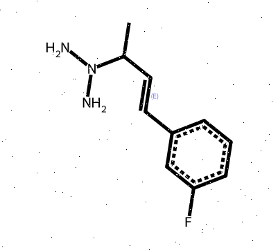 CC(/C=C/c1cccc(F)c1)N(N)N